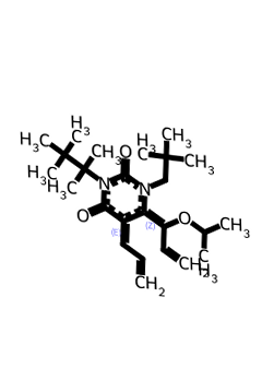 C=C/C=c1/c(=O)n(C(C)(C)C(C)(C)C)c(=O)n(CC(C)(C)C)/c1=C(/C=C)OC(C)C